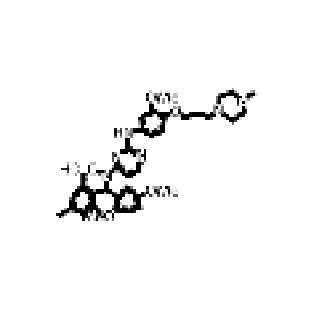 COc1ccc(OC)c(C(c2c(C)cc(C)cc2C)N(C(=O)O)c2ccnc(Nc3ccc(OCCCN4CCN(C)CC4)c(OC)c3)n2)c1